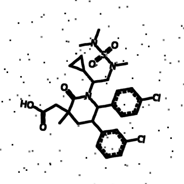 CN(C)S(=O)(=O)N(C)CC(C1CC1)N1C(=O)C(C)(CC(=O)O)CC(c2cccc(Cl)c2)C1c1ccc(Cl)cc1